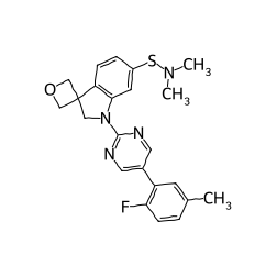 Cc1ccc(F)c(-c2cnc(N3CC4(COC4)c4ccc(SN(C)C)cc43)nc2)c1